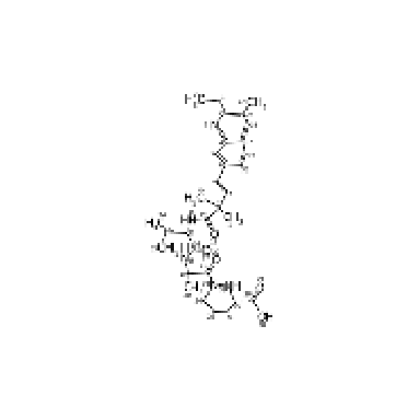 CCc1nc2cc(/C=C/C(C)(C)C(=O)N[C@H](C(=O)N[C@@H](C)C(=O)N3CCC[C@@H](C(=O)O)N3)C(C)C)ccc2cc1C